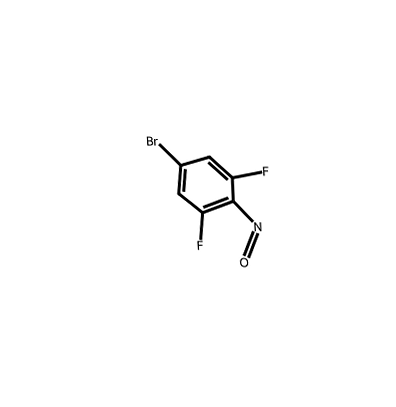 O=Nc1c(F)cc(Br)cc1F